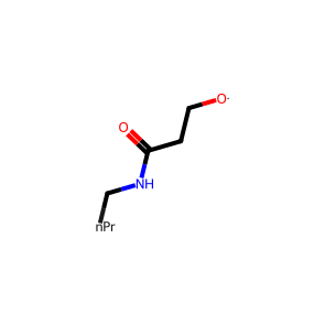 CCCCNC(=O)CC[O]